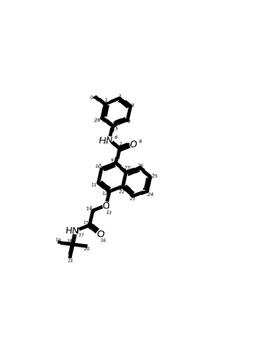 Cc1cccc(NC(=O)c2ccc(OCC(=O)NC(C)(C)C)c3ccccc23)c1